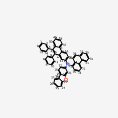 c1ccc(-c2c(-c3ccccc3)c3cc(N(c4ccc5c(c4)oc4ccccc45)c4cccc5c4ccc4ccccc45)ccc3c3ccccc23)cc1